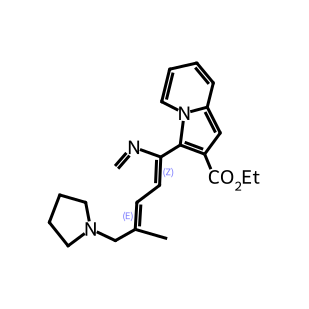 C=N/C(=C\C=C(/C)CN1CCCC1)c1c(C(=O)OCC)cc2ccccn12